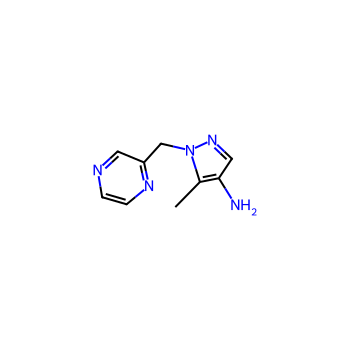 Cc1c(N)cnn1Cc1cnccn1